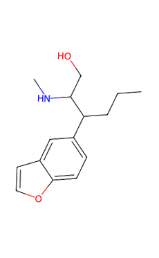 CCCC(c1ccc2occc2c1)C(CO)NC